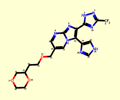 FC(F)(F)c1n[nH]c(-c2nc3ncc(COCCC4COCCO4)cn3c2-c2c[nH]cn2)n1